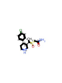 CC([C@H]1CNCC[C@@H]1c1ccc(Cl)cc1)[S+]([O-])CC(N)=O